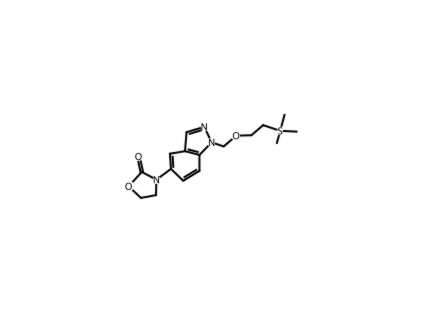 CS(C)(C)CCOCn1ncc2cc(N3CCOC3=O)ccc21